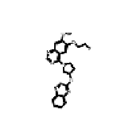 COc1cc2ncnc(N3CCC(Oc4cnc5ccccc5n4)C3)c2cc1OCCF